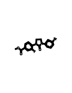 COC(=O)c1ccc(N2CCN(c3cccc(Br)c3)C2=O)c(F)c1